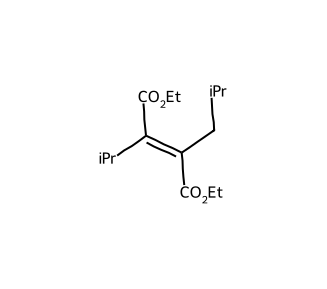 CCOC(=O)C(CC(C)C)=C(C(=O)OCC)C(C)C